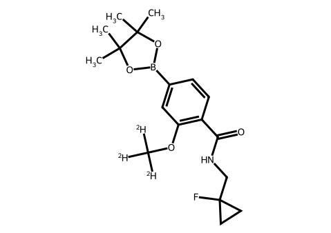 [2H]C([2H])([2H])Oc1cc(B2OC(C)(C)C(C)(C)O2)ccc1C(=O)NCC1(F)CC1